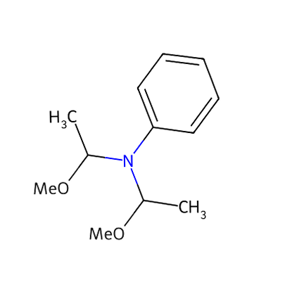 COC(C)N(c1ccccc1)C(C)OC